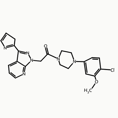 COc1cc(N2CCN(C(=O)Cn3nc(C4=NC=CC4)c4cccnc43)CC2)ccc1Cl